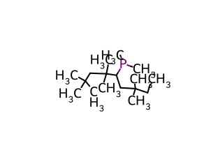 CCC(C)(C)CC(P(C)C)C(C)(C)CC(C)(C)C